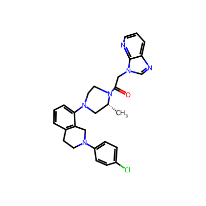 C[C@@H]1CN(c2cccc3c2CN(c2ccc(Cl)cc2)CC3)CCN1C(=O)Cn1cnc2cccnc21